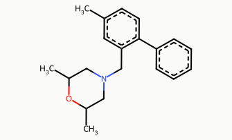 Cc1ccc(-c2ccccc2)c(CN2CC(C)OC(C)C2)c1